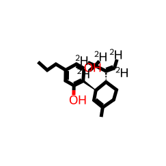 [2H]C([2H])=C([C@@H]1CCC(C)=C[C@H]1c1c(O)cc(CCC)cc1O)C([2H])([2H])[2H]